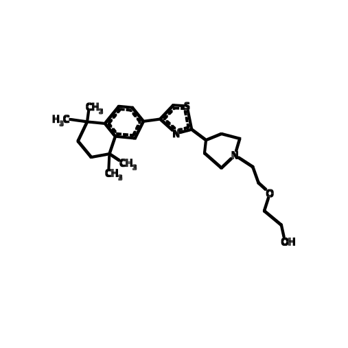 CC1(C)CCC(C)(C)c2cc(-c3csc(C4CCN(CCOCCO)CC4)n3)ccc21